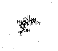 CC/C(Nc1cnn(C(C)C)c1)=C1/C(=O)Nc2ccc(C(O)C3CC3)cc21